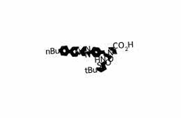 CCCCC1CCC(C2CCN(c3cnc(-c4ccc(C[C@H](NC(=O)c5ccc(C(C)(C)C)s5)C(=O)N5CC(C(=O)O)C5)cc4)nc3)CC2)CC1